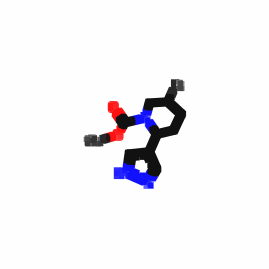 CCC1CCC(c2cn[nH]c2)N(C(=O)OC(C)(C)C)C1